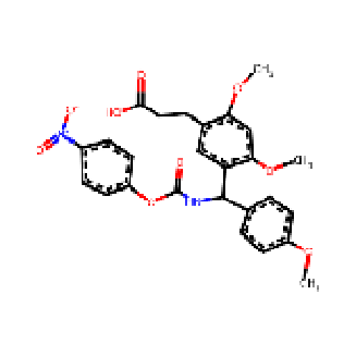 COc1ccc(C(NC(=O)Oc2ccc([N+](=O)[O-])cc2)c2cc(CCC(=O)O)c(OC)cc2OC)cc1